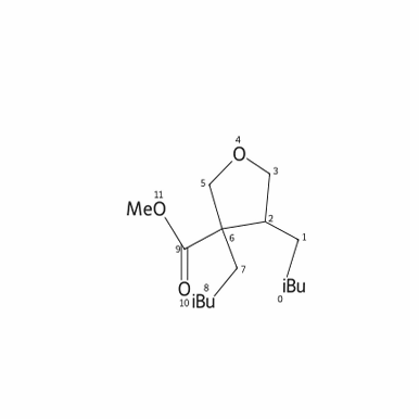 CCC(C)CC1COCC1(CC(C)CC)C(=O)OC